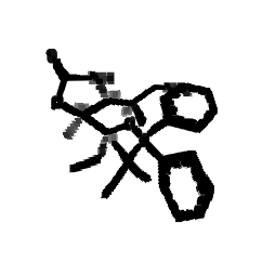 CC[C@@H](O[Si](c1ccccc1)(c1ccccc1)C(C)(C)C)[C@@]1(C)OC(=O)N[C@@H]1[C@H](C)CN